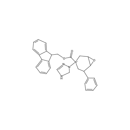 O=C(OCC1c2ccccc2-c2ccccc21)[N+]1(N2CNC=N2)CC2OC2C(c2ccccc2)C1